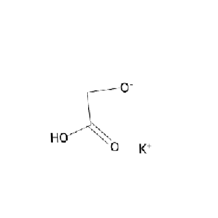 O=C(O)C[O-].[K+]